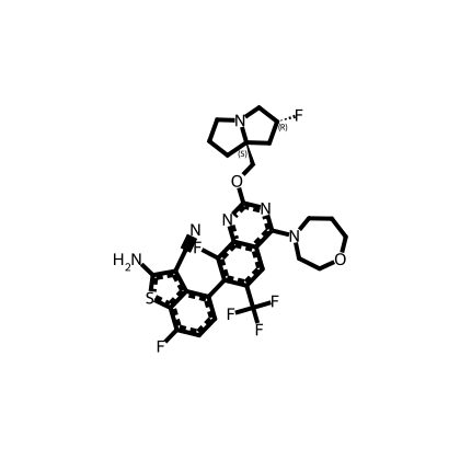 N#Cc1c(N)sc2c(F)ccc(-c3c(C(F)(F)F)cc4c(N5CCCOCC5)nc(OC[C@@]56CCCN5C[C@H](F)C6)nc4c3F)c12